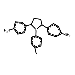 Nc1ccc(C2CCC(c3ccc(N)cc3)N2c2ccc(F)cc2)cc1